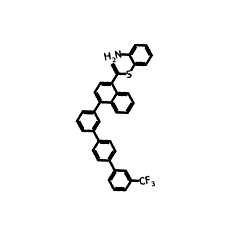 C=C(Sc1ccccc1N)c1ccc(-c2cccc(-c3ccc(-c4cccc(C(F)(F)F)c4)cc3)c2)c2ccccc12